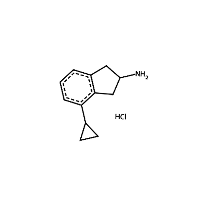 Cl.NC1Cc2cccc(C3CC3)c2C1